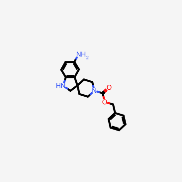 Nc1ccc2c(c1)C1(CCN(C(=O)OCc3ccccc3)CC1)CN2